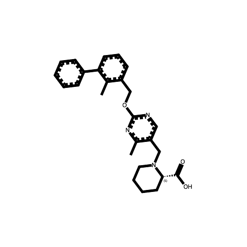 Cc1nc(OCc2cccc(-c3ccccc3)c2C)ncc1CN1CCCC[C@H]1C(=O)O